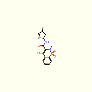 CC1C=NC(NC(=O)C2=C(O)c3ccccc3S(=O)(=O)N2C)C1